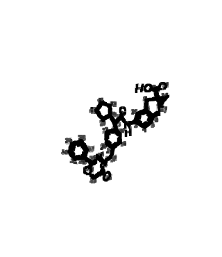 O=C(Nc1ccc(F)c(CC2(C(=O)O)CC2)c1)C(c1ccc(CN2N=C(c3ccccc3)OCC2=O)cc1)C1CCCC1